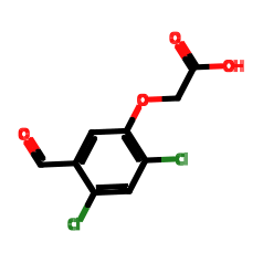 O=Cc1cc(OCC(=O)O)c(Cl)cc1Cl